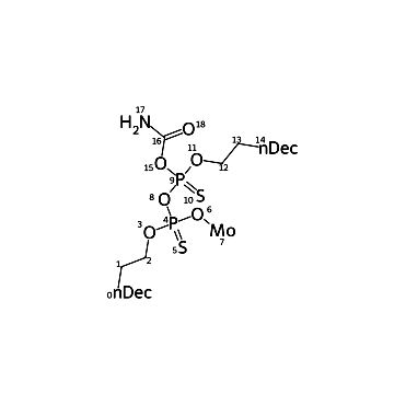 CCCCCCCCCCCCOP(=S)([O][Mo])OP(=S)(OCCCCCCCCCCCC)OC(N)=O